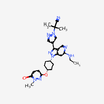 CCNc1cc2c(cn1)c(-c1cnn(C(C)(C)C#N)c1)nn2[C@H]1CC[C@@H](Oc2ccc(=O)n(C)n2)CC1